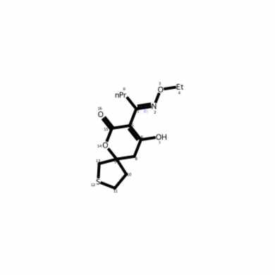 CCC/C(=N\OCC)C1=C(O)CC2(CCSC2)OC1=O